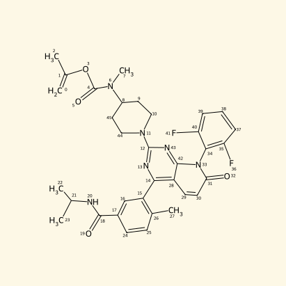 C=C(C)OC(=O)N(C)C1CCN(c2nc(-c3cc(C(=O)NC(C)C)ccc3C)c3ccc(=O)n(-c4c(F)cccc4F)c3n2)CC1